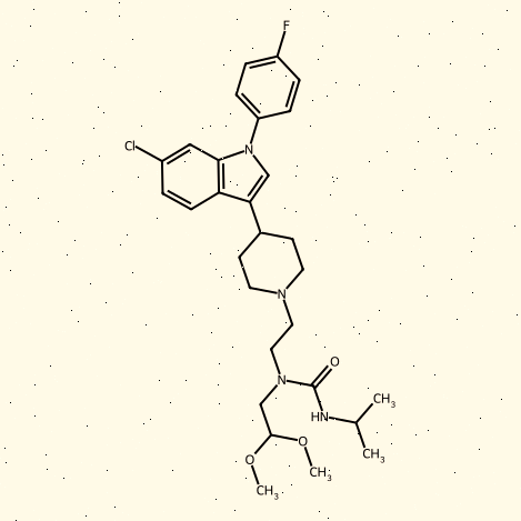 COC(CN(CCN1CCC(c2cn(-c3ccc(F)cc3)c3cc(Cl)ccc23)CC1)C(=O)NC(C)C)OC